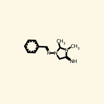 CC1N(N=Cc2ccccc2)CC(=N)N1C